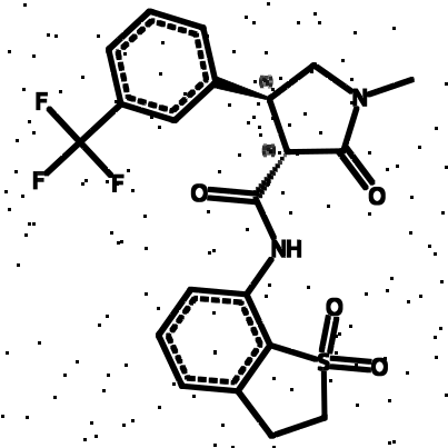 CN1C[C@H](c2cccc(C(F)(F)F)c2)[C@@H](C(=O)Nc2cccc3c2S(=O)(=O)CC3)C1=O